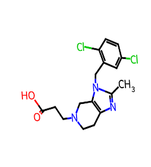 Cc1nc2c(n1Cc1cc(Cl)ccc1Cl)CN(CCC(=O)O)CC2